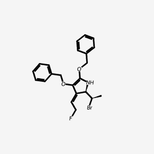 C[C@@H](Br)[C@@H]1NC(OCc2ccccc2)=C(OCc2ccccc2)/C1=C/CF